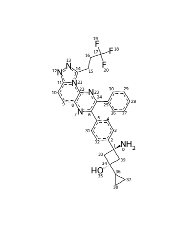 N[C@]1(c2ccc(-c3nc4ccc5nnc(CCC(F)(F)F)n5c4nc3-c3ccccc3)cc2)C[C@](O)(C2CC2)C1